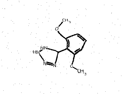 COc1cccc(OC)c1C1N=NNN1